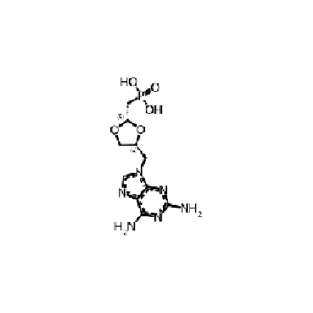 Nc1nc(N)c2ncn(C[C@H]3CO[C@H](CP(=O)(O)O)O3)c2n1